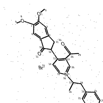 COc1cc2c(cc1OC)C(=O)C(c1cc[n+](C(C)Cc3ccccc3)cc1C(C)=O)C2.[Br-]